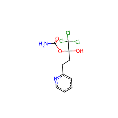 NC(=O)OC(O)(CCc1ccccn1)C(Cl)(Cl)Cl